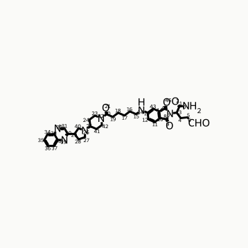 NC(=O)C(CCC=O)N1C(=O)c2ccc(NCCCCCC(=O)N3CCC(N4CCC(c5cnc6ccccc6n5)C4)CC3)cc2C1=O